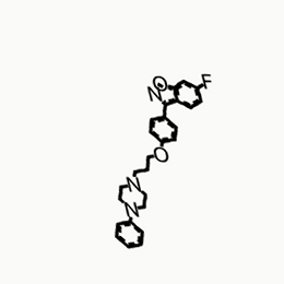 Fc1ccc2c(-c3ccc(OCCCN4CCN(c5ccccc5)CC4)cc3)noc2c1